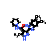 Cc1cc2nc(-c3n[nH]c(C)c3C(=O)NN3CCCCC3)[nH]c2cc1C